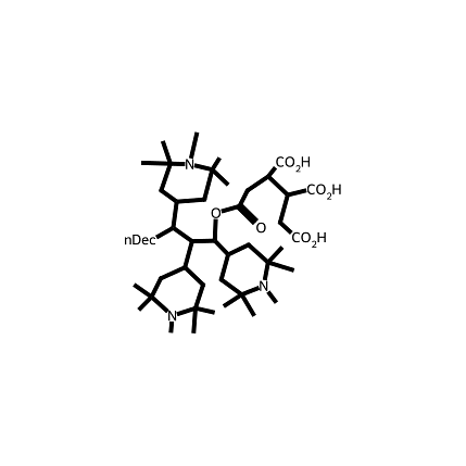 CCCCCCCCCCC(C1CC(C)(C)N(C)C(C)(C)C1)C(C1CC(C)(C)N(C)C(C)(C)C1)C(OC(=O)CC(C(=O)O)C(CC(=O)O)C(=O)O)C1CC(C)(C)N(C)C(C)(C)C1